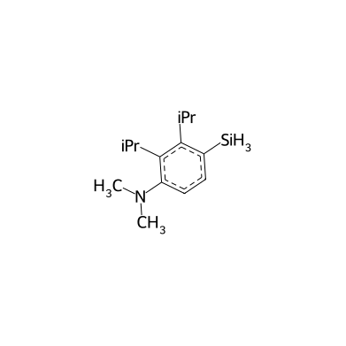 CC(C)c1c([SiH3])ccc(N(C)C)c1C(C)C